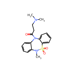 CN(C)CCC(=O)N1c2ccccc2N(C)S(=O)(=O)c2ccccc21